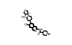 CN1CCC(C(=O)Nc2cc3cc(C4CCN([C@]5(C)COC[C@@H]5O)CC4)c(Cl)cc3cn2)CC1